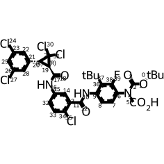 CC(C)(C)OC(=O)N(C(=O)O)c1ccc(NC(=O)c2cc(NC(=O)[C@H]3[C@H](c4cc(Cl)cc(Cl)c4)C3(Cl)Cl)ccc2Cl)c(C(C)(C)C)c1F